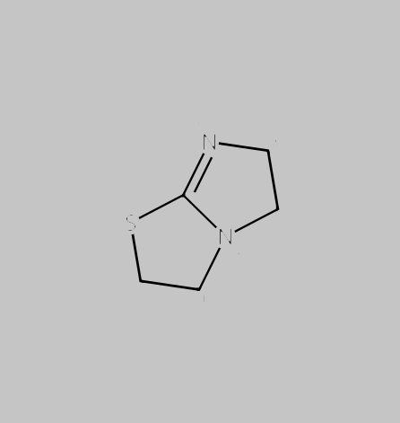 [CH]1CN2CCN=C2S1